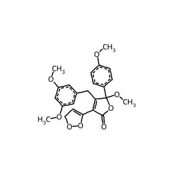 COc1ccc(C2(OC)OC(=O)C(C3=CCOO3)=C2Cc2cc(OC)cc(OC)c2)cc1